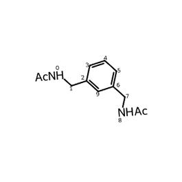 CC(=O)NCc1cccc(CNC(C)=O)c1